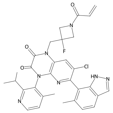 C=CC(=O)N1CC(F)(Cn2c(=O)c(=O)n(-c3c(C)ccnc3C(C)C)c3nc(-c4c(C)ccc5cn[nH]c45)c(Cl)cc32)C1